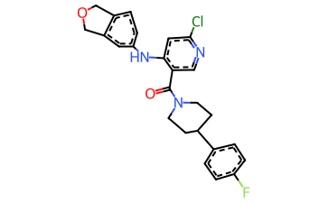 O=C(c1cnc(Cl)cc1Nc1ccc2c(c1)COC2)N1CCC(c2ccc(F)cc2)CC1